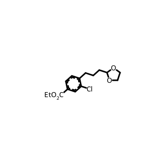 CCOC(=O)c1ccc(CCCC2OCCO2)c(Cl)c1